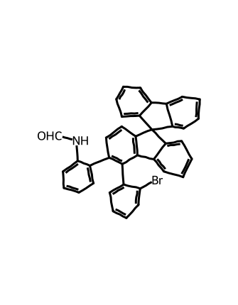 O=CNc1ccccc1-c1ccc2c(c1-c1ccccc1Br)-c1ccccc1C21c2ccccc2-c2ccccc21